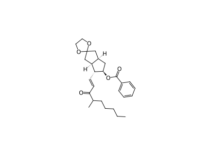 CCCCCC(C)C(=O)/C=C/[C@@H]1[C@H]2CC3(C[C@H]2C[C@H]1OC(=O)c1ccccc1)OCCO3